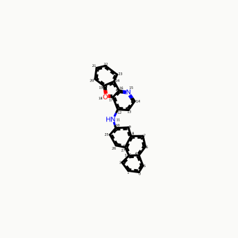 c1ccc2c(c1)ccc1cc(Nc3ccnc4c3oc3ccccc34)ccc12